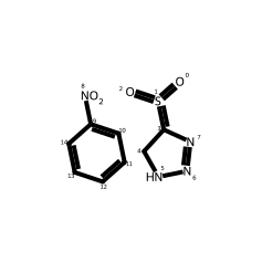 O=S(=O)=C1CNN=N1.O=[N+]([O-])c1ccccc1